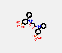 O=C(CC(=O)NC1(c2ccccc2)C=CC(P(=O)(O)O)=CC1)NC1(c2ccccc2)C=CC(P(=O)(O)O)=CC1